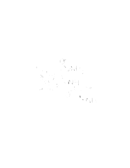 C=C/C(=N\NC)C(=O)Nc1sc2c(c1C(N)=O)CC(C)(C)OC2(C)C